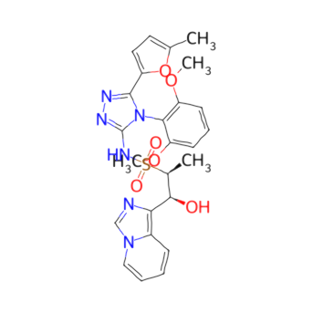 COc1cccc(OC)c1-n1c(NS(=O)(=O)[C@@H](C)[C@@H](O)c2ncn3ccccc23)nnc1-c1ccc(C)o1